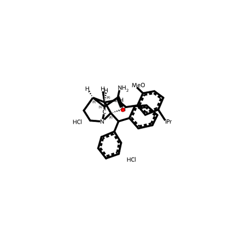 COc1ccc(C(C)C)cc1CN[C@@H]1[C@@H]2CCN(C[C@H]2C(N)=O)[C@@H]1C(c1ccccc1)c1ccccc1.Cl.Cl